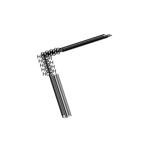 O=S(=O)(O)O.O=S(=O)(O)O.O=S(=O)(O)O.O=S(=O)(O)O.O=S(=O)(O)O.O=S(=O)(O)O.O=S(=O)(O)O.O=S(=O)(O)O.[Ca+2].[Ca+2].[Ca+2].[Ca+2].[Ca+2].[Ca+2].[Ca+2].[Ca+2].[Ca+2].[Ca+2].[Ca+2].[Ca+2].[Ca+2].[Ca+2].[Ca+2].[Ca+2].[Ca+2].[Ca+2].[Ca+2].[Ca+2].[Ca+2].[Ca+2].[Ca+2].[Ca+2].[Ca+2].[Ca+2].[Ca+2].[Ca+2].[Ca+2].[Ca+2].[Ca+2].[Ca+2].[Ca+2].[Ca+2].[Ca+2].[Ca+2].[Ca+2].[Ca+2].[Ca+2].[Ca+2].[Ca+2].[Ca+2].[Ca+2].[Ca+2].[Ca+2].[Ca+2].[Ca+2].[Ca+2].[Ca+2].[Ca+2].[Ca+2].[Ca+2].[Ca+2].[Ca+2].[Ca+2].[Ca+2].[Ca+2].[Ca+2].[Ca+2].[Ca+2].[Ca+2].[Ca+2].[Ca+2].[Ca+2].[Ca+2].[Ca+2].[Ca+2].[Ca+2].[Ca+2].[Ca+2].[Ca+2].[Ca+2].[Ca+2]